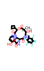 C[C@H]1NC(=O)C(C2CCC2)OC(=O)[C@H](C)[C@H](O)[C@H](Cc2c(F)c(F)c(F)c(F)c2F)NC(=O)[C@H]1NC(=O)c1ncccc1O